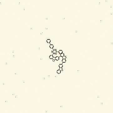 c1ccc(-c2ccc(-c3nc(-c4ccccc4)nc(-c4cccc5oc6ccc(-c7cccc8sc9ccc(-c%10ccc%11c(c%10)sc%10ccccc%10%11)cc9c78)cc6c45)n3)cc2)cc1